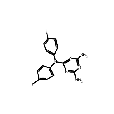 Nc1nc(N)nc(N(c2ccc(I)cc2)c2ccc(I)cc2)n1